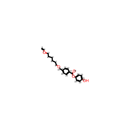 C=COCCCCCCOCc1ccc(C(=O)Oc2ccc(O)cc2)cc1